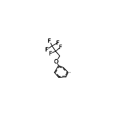 FC(F)(F)C(F)(F)COc1c[c]ccc1